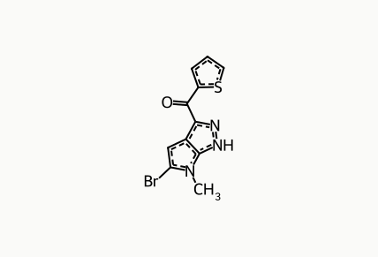 Cn1c(Br)cc2c(C(=O)c3cccs3)n[nH]c21